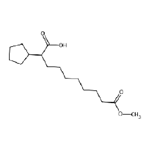 COC(=O)CCCCCCCC(C(=O)O)C1CCCC1